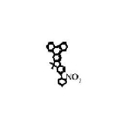 CC1(C)c2cc(-c3ccccc3[N+](=O)[O-])ccc2-c2cc3c4ccccc4c4ccccc4c3cc21